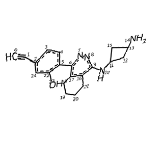 C#Cc1ccc(-c2nnc(NC3CC(N)C3)c3c2CCCC3)c(O)c1